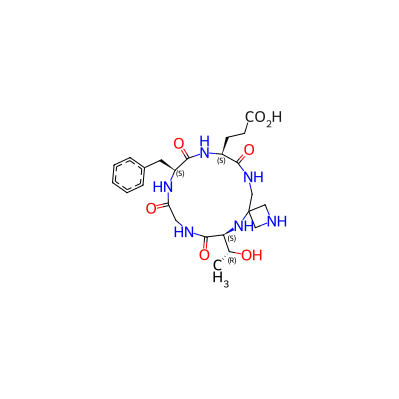 C[C@@H](O)[C@@H]1NC2(CNC2)CNC(=O)[C@H](CCC(=O)O)NC(=O)[C@H](Cc2ccccc2)NC(=O)CNC1=O